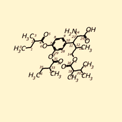 CCC(C)C(=O)Oc1ccc(C(C(C)COC(=O)C(C)C(C)C)[C@H](N)C(=O)O)cc1OC(=O)C(C)CC